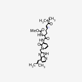 COC(=O)NC(CC/C=C/C(=O)N(C)C)C(=O)Nc1cccn(Cc2nc3c(C=C(C)C)ccnc3[nH]2)c1=O